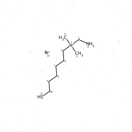 C[N+](C)(CN)CCCCCCS.[Br-]